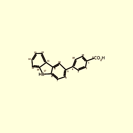 O=C(O)c1ccc(-c2ccc3c(c2)-c2ccccc2B3)cc1